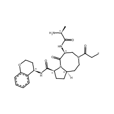 C[C@H](N)C(=O)N[C@H]1CN(C(=O)CF)CC[C@H]2CC[C@@H](C(=O)N[C@@H]3CCOc4ccccc43)N2C1=O